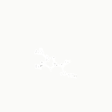 CC[C@@H]1CN(C(=O)OC(C)(C)C)C[C@H]1OC(C)=O